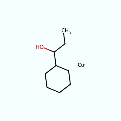 CCC(O)C1CCCCC1.[Cu]